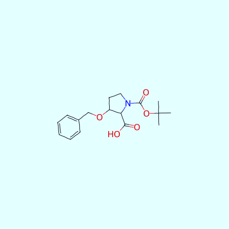 CC(C)(C)OC(=O)N1CCC(OCc2ccccc2)C1C(=O)O